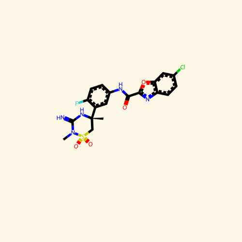 CN1C(=N)N[C@](C)(c2cc(NC(=O)c3nc4ccc(Cl)cc4o3)ccc2F)CS1(=O)=O